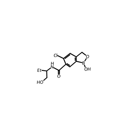 CCC(CO)NC(=O)c1cc2c(cc1Cl)COB2O